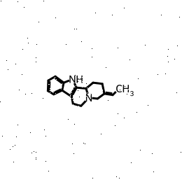 C/C=C1\CCC2c3[nH]c4ccccc4c3CCN2C1